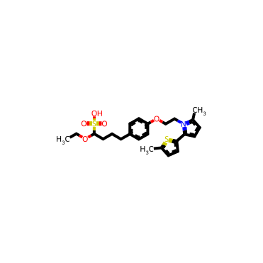 CCOC(CCCc1ccc(OCCn2c(C)ccc2-c2ccc(C)s2)cc1)S(=O)(=O)O